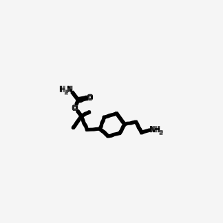 CC(C)(CC1CCC(CCN)CC1)OC(N)=O